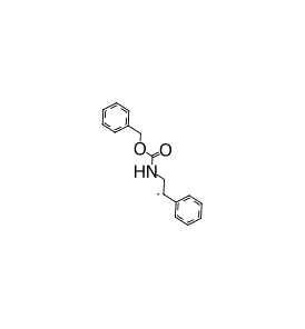 O=C(NC[CH]c1ccccc1)OCc1ccccc1